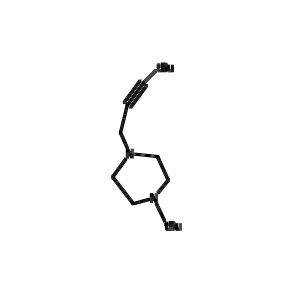 CC(C)(C)C#CCN1CCN(C(C)(C)C)CC1